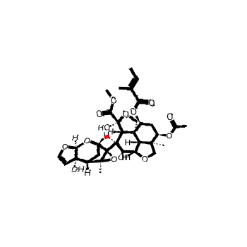 C/C=C(\C)C(=O)O[C@H]1C[C@@H](OC(C)=O)[C@@]2(C)CO[C@@H]3[C@@H](O)[C@@](C)([C@]45O[C@@]4(C)[C@H]4C[C@@H]5O[C@@H]5OC=C[C@@]54O)[C@H]4[C@]1(CO[C@]4(O)C(=O)OC)[C@@H]32